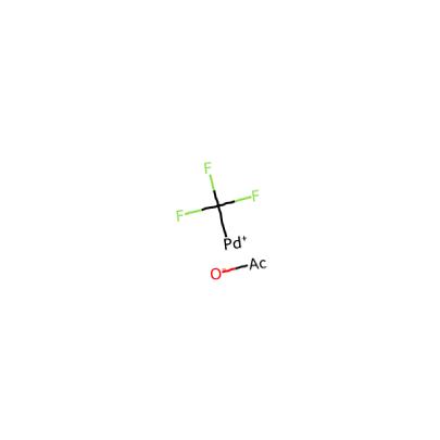 CC(=O)[O-].F[C](F)(F)[Pd+]